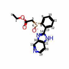 CCOC(=O)C[S+]([O-])c1ccccc1-c1nc2cnccc2[nH]1